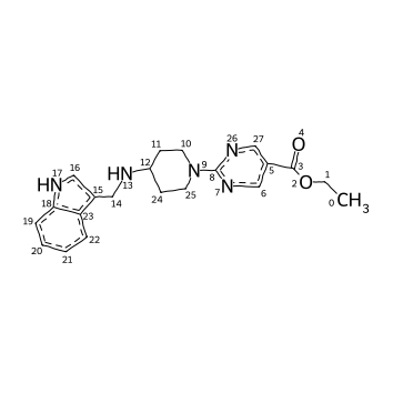 CCOC(=O)c1cnc(N2CCC(NCc3c[nH]c4ccccc34)CC2)nc1